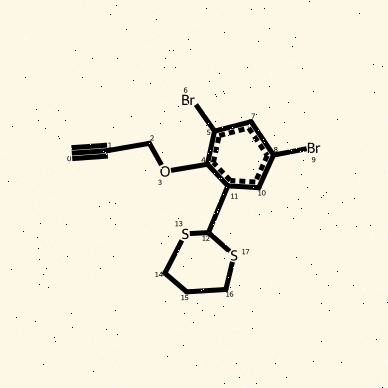 C#CCOc1c(Br)cc(Br)cc1C1SCCCS1